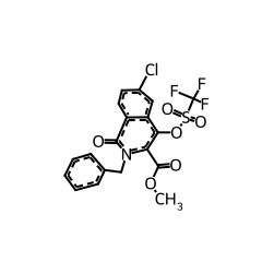 COC(=O)c1c(OS(=O)(=O)C(F)(F)F)c2cc(Cl)ccc2c(=O)n1Cc1ccccc1